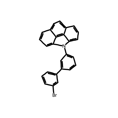 Brc1cccc(-c2cccc(-n3c4cccc5ccc6cccc3c6c54)c2)c1